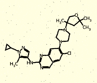 Cc1c(Nc2ncc3cc(Cl)c(N4CCN(C5(C)COC(C)(C)C5)CC4)cc3n2)cnn1C1CC1